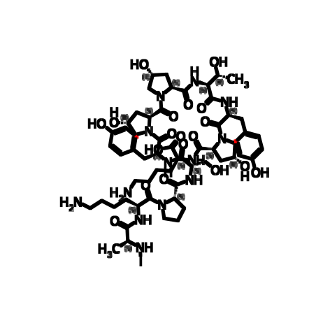 C[C@H](NI)C(=O)N[C@@H](CCCCN)C(=O)N1CCC[C@H]1C(=O)N[C@@H](CO)C(=O)N[C@@H](Cc1ccc(O)cc1)C(=O)N1C[C@H](O)C[C@H]1C(=O)N1C[C@H](O)C[C@H]1C(=O)N[C@H](C(=O)N[C@@H](Cc1ccc(O)cc1)C(=O)N1C[C@H](O)C[C@H]1C(=O)N[C@@H](CCCCN)C(=O)O)[C@@H](C)O